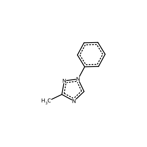 Cc1ncn(-c2ccccc2)n1